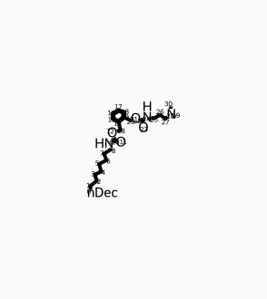 CCCCCCCCCCCCCCCCCCNC(=O)OCc1ccccc1COC(=O)NCCCN(C)C